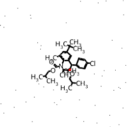 Cc1cc(C(C)(C)C)cc(C(C(=O)OCC(C)C)c2ccc(Cl)cc2)c1N(C(=O)OCC(C)C)C(C)C